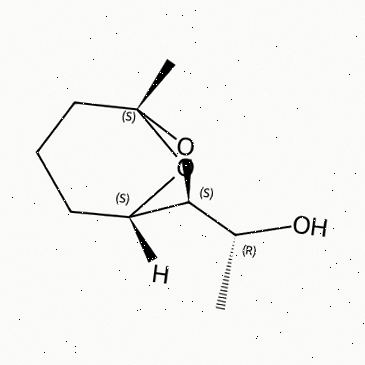 C[C@@H](O)[C@@H]1O[C@@]2(C)CCC[C@@H]1O2